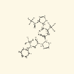 CC(C)(C)C(=O)C1CCCN1C(=O)C(NC(=O)C1CCCN1C(=O)CC(c1ccccc1)C(C)(C)C)C(C)(C)C